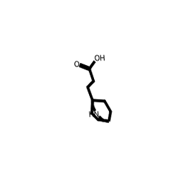 O=C(O)CCC12CCC(CC1)CNC2